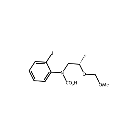 COCO[C@@H](C)CN(C(=O)O)c1ccccc1I